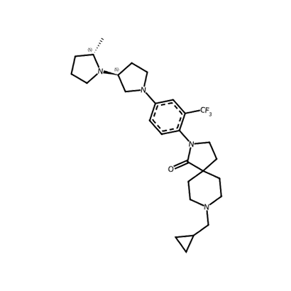 C[C@H]1CCCN1[C@H]1CCN(c2ccc(N3CCC4(CCN(CC5CC5)CC4)C3=O)c(C(F)(F)F)c2)C1